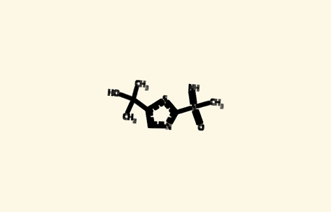 CC(C)(O)c1cnc(S(C)(=N)=O)s1